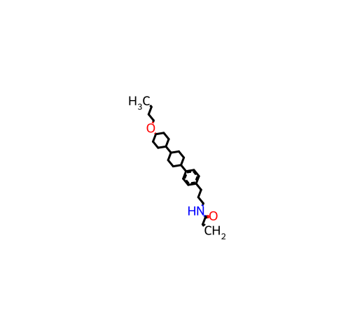 C=CC(=O)NCCCc1ccc(C2CCC(C3CCC(OCCCC)CC3)CC2)cc1